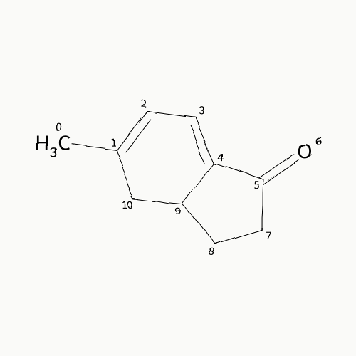 CC1=CC=C2C(=O)CCC2C1